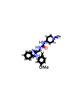 COc1ccc(C[C@@H](NC(=O)NC2CCN(C(C)C)CC2)c2nc3ccccc3[nH]2)cc1